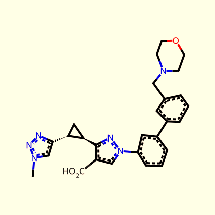 Cn1cc([C@@H]2C[C@H]2c2nn(-c3cccc(-c4cccc(CN5CCOCC5)c4)c3)cc2C(=O)O)nn1